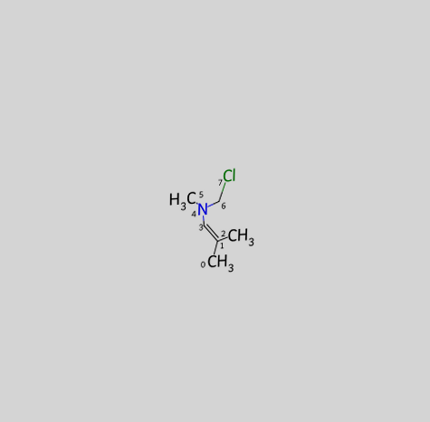 CC(C)=CN(C)CCl